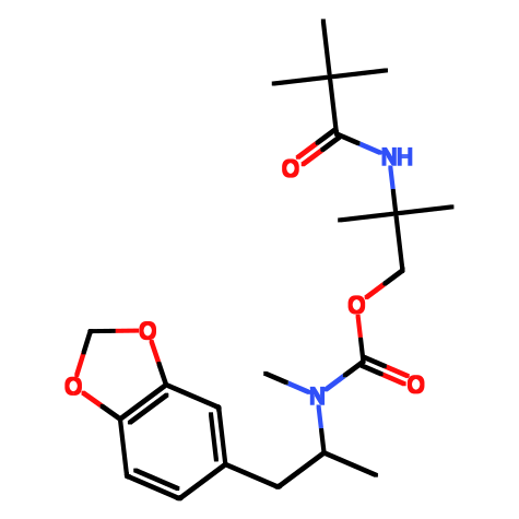 CC(Cc1ccc2c(c1)OCO2)N(C)C(=O)OCC(C)(C)NC(=O)C(C)(C)C